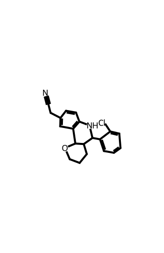 N#CCc1ccc2c(c1)C1OCCCC1C(c1ccccc1Cl)N2